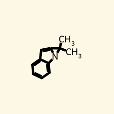 CC1(C)c2cc3ccccc3n21